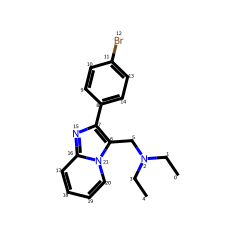 CCN(CC)Cc1c(-c2ccc(Br)cc2)nc2ccccn12